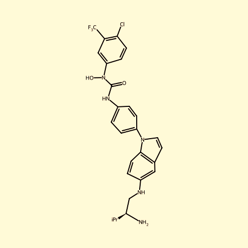 CC(C)[C@H](N)CNc1ccc2c(ccn2-c2ccc(NC(=O)N(O)c3ccc(Cl)c(C(F)(F)F)c3)cc2)c1